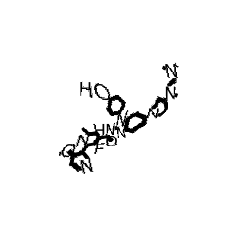 COc1ccncc1-c1nc(C)cc(C(=O)Nc2nc3ccc(N4CCC(N(C)CCN(C)C)CC4)cc3n2[C@H]2CC[C@@H](O)CC2)c1F